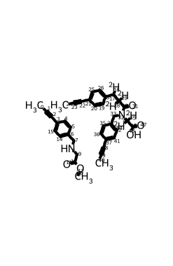 CC#Cc1ccc(CNCC(=O)OC)cc1.[2H]C(c1ccc(C#CC)cc1)C([2H])([2H])C(=O)N(Cc1ccc(C#CC)cc1)C([2H])([2H])C(=O)O